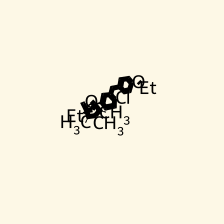 CCOc1ccc(Cc2cc([C@]34OC[C@](CC)(O3)[C@@H](C)[C@H](C)[C@H]4C)ccc2Cl)cc1